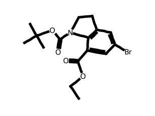 CCOC(=O)c1cc(Br)cc2c1N(C(=O)OC(C)(C)C)CC2